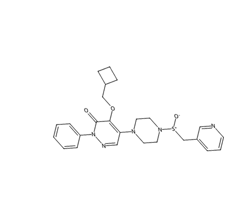 O=c1c(OCC2CCC2)c(N2CCN([S+]([O-])Cc3cccnc3)CC2)cnn1-c1ccccc1